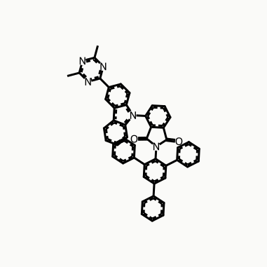 Cc1nc(C)nc(-c2ccc3c(c2)c2ccccc2n3-c2cccc3c2C(=O)N(c2c(-c4ccccc4)cc(-c4ccccc4)cc2-c2ccccc2)C3=O)n1